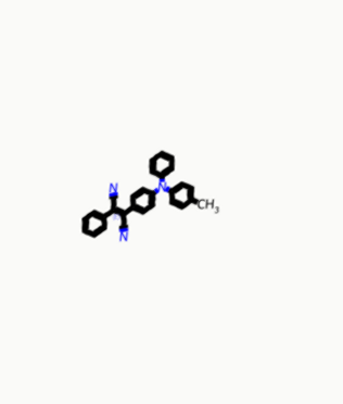 Cc1ccc(N(c2ccccc2)c2ccc(/C(C#N)=C(\C#N)c3ccccc3)cc2)cc1